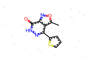 Cc1onc2c(=O)[nH]nc(-c3cccs3)c12